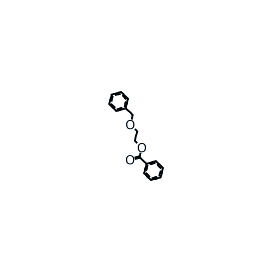 O=C(OCCOCc1ccccc1)c1ccccc1